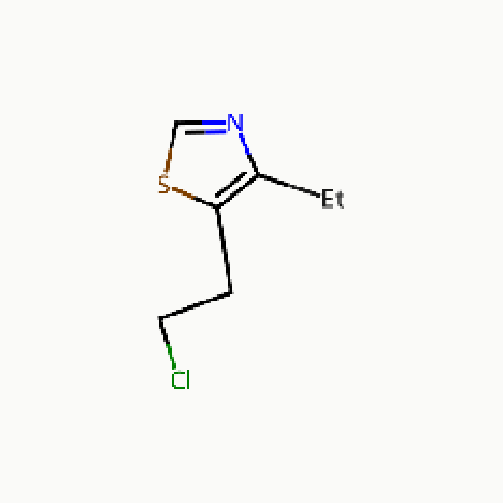 CCc1ncsc1CCCl